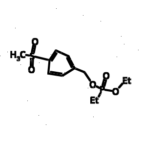 CCOP(=O)(CC)OCc1ccc(S(C)(=O)=O)cc1